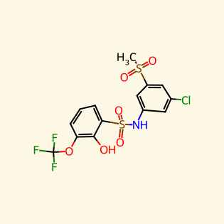 CS(=O)(=O)c1cc(Cl)cc(NS(=O)(=O)c2cccc(OC(F)(F)F)c2O)c1